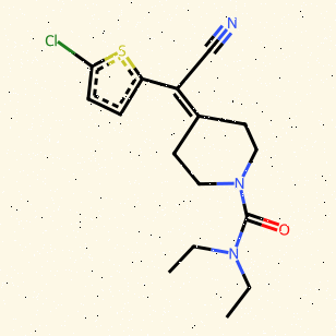 CCN(CC)C(=O)N1CCC(=C(C#N)c2ccc(Cl)s2)CC1